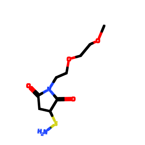 COCCOCCN1C(=O)CC(SN)C1=O